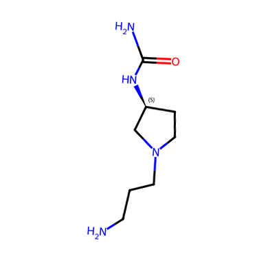 NCCCN1CC[C@H](NC(N)=O)C1